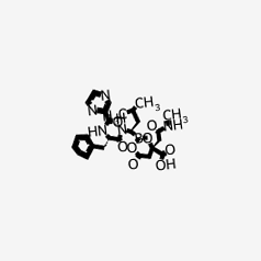 CNC(=O)C[C@@]1(C(=O)O)CC(=O)OB([C@H](CC(C)C)NC(=O)[C@H](Cc2ccccc2)NC(=O)c2cnccn2)O1